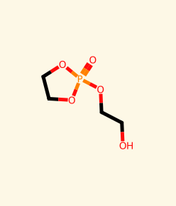 O=P1(OCCO)OCCO1